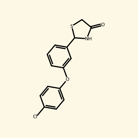 O=C1CSC(c2cccc(Oc3ccc(Cl)cc3)c2)N1